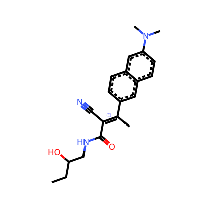 CCC(O)CNC(=O)/C(C#N)=C(\C)c1ccc2cc(N(C)C)ccc2c1